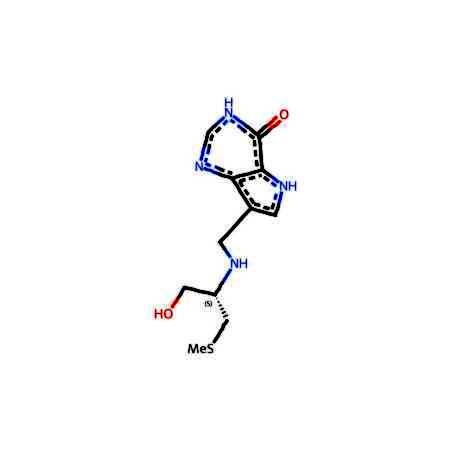 CSC[C@H](CO)NCc1c[nH]c2c(=O)[nH]cnc12